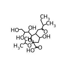 CCC(C)C(=O)CC1C(O)CC(OC(C)C)(C(=O)O)OC1C(O)C(O)CO